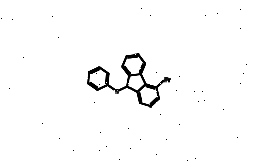 CC(C)c1cccc2c1-c1ccccc1C2Sc1ccccc1